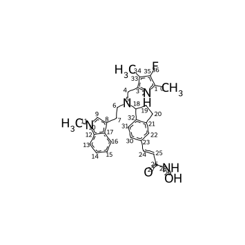 Cc1[nH]c(CN(CCc2cn(C)c3ccccc23)C2CCc3cc(C=CC(=O)NO)ccc32)c(C)c1F